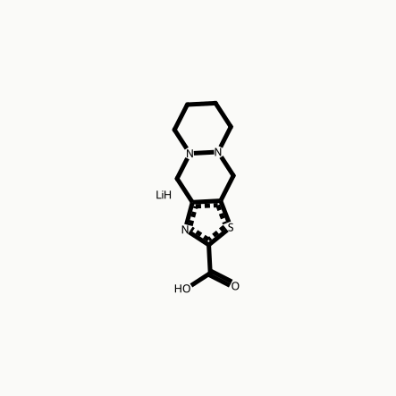 O=C(O)c1nc2c(s1)CN1CCCCN1C2.[LiH]